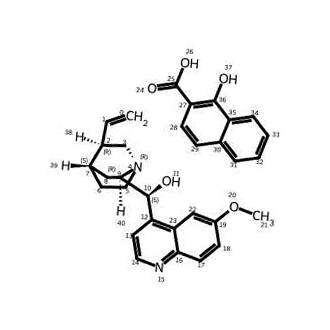 C=C[C@H]1C[N@]2CC[C@H]1C[C@@H]2[C@@H](O)c1ccnc2ccc(OC)cc12.O=C(O)c1ccc2ccccc2c1O